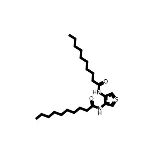 CCCCCCCCCC(=O)Nc1cscc1NC(=O)CCCCCCCCC